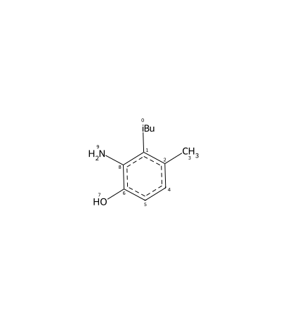 CCC(C)c1c(C)ccc(O)c1N